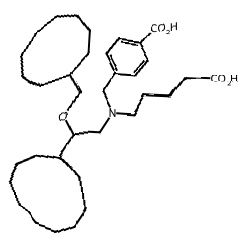 O=C(O)CCCCN(Cc1ccc(C(=O)O)cc1)CC(OCC1CCCCCCCC1)C1CCCCCCCCC1